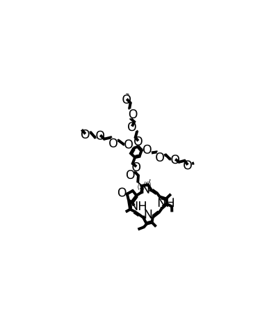 CCC1=C(C)c2cc3[nH]c(cc4nc(c5c6[nH]c(cc1n2)c(C)c6C(=O)C5)[C@@H](CCC(=O)OCc1cc(OCCOCCOCCOC)c(OCCOCCOCCOC)c(OCCOCCOCCOC)c1)[C@@H]4C)c(C)c3CC